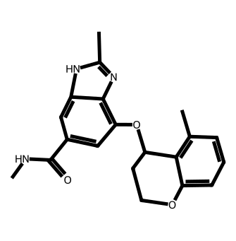 CNC(=O)c1cc(OC2CCOc3cccc(C)c32)c2nc(C)[nH]c2c1